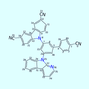 N#Cc1ccc(-c2cc(-n3c4ccc(C#N)cc4c4cc(C#N)ccc43)cc(-n3c4ccccc4c4cccnc43)c2)cc1